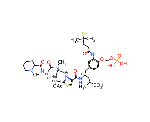 CC[C@H](C)[C@H](NC(=O)C1CCCCN1C)C(=O)N(C)[C@H](C[C@@H](OC(C)=O)c1nc(C(=O)N[C@@H](Cc2ccc(OCOP(=O)(O)O)c(NC(=O)CCC(C)(C)S)c2)CC(C)C(=O)O)cs1)C(C)C